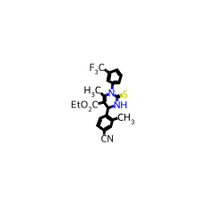 CCOC(=O)C1=C(C)N(c2cccc(C(F)(F)F)c2)C(=S)NC1c1ccc(C#N)cc1C